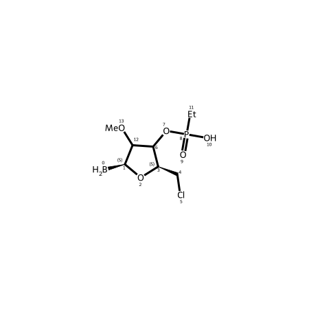 B[C@@H]1O[C@H](CCl)C(OP(=O)(O)CC)C1OC